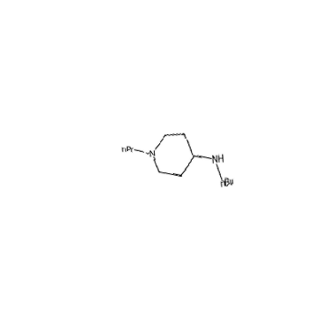 CCCCNC1CCN(CCC)CC1